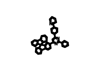 c1ccc(-c2nc(-c3ccc(-c4ccccn4)cc3)cc(-c3ccc4c(c3)C3(c5ccccc5-c5ccccc53)c3ccccc3-4)n2)cc1